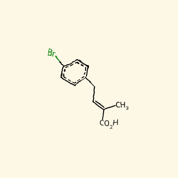 CC(=CCc1ccc(Br)cc1)C(=O)O